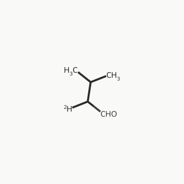 [2H]C(C=O)C(C)C